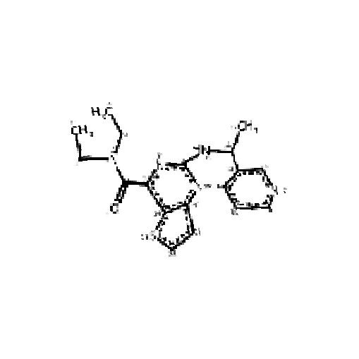 CCN(CC)C(=O)c1nc(NC(C)c2cccnc2)nc2ccsc12